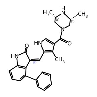 Cc1c(C(=O)N2C[C@@H](C)N[C@@H](C)C2)c[nH]c1/C=C1\C(=O)Nc2cccc(-c3ccccc3)c21